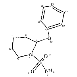 NS(=O)(=O)N1CCCCC1Oc1ccccc1